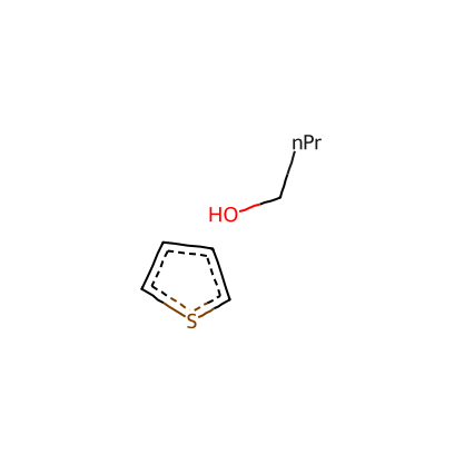 CCCCO.c1ccsc1